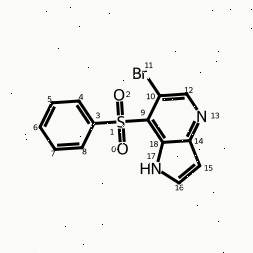 O=S(=O)(c1ccccc1)c1c(Br)cnc2cc[nH]c12